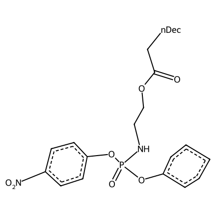 CCCCCCCCCCCC(=O)OCCNP(=O)(Oc1ccccc1)Oc1ccc([N+](=O)[O-])cc1